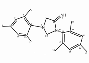 Cc1cc(C)c(N2CC(=N)N(c3c(C)cc(C)cc3C)C2)c(C)c1